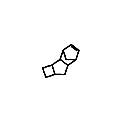 C1=CC2CC1C1CC3CCC3C21